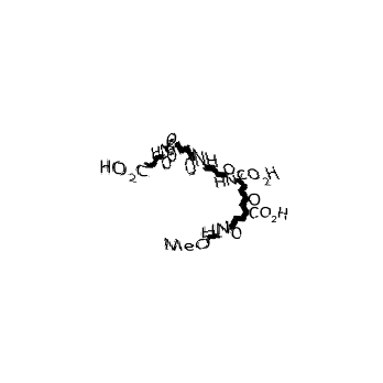 COCCNC(=O)CCC(CC(=O)CC[C@H](NC(=O)CCCNC(=O)CCCS(=O)(=O)NC(=O)CCCC(=O)O)C(=O)O)C(=O)O